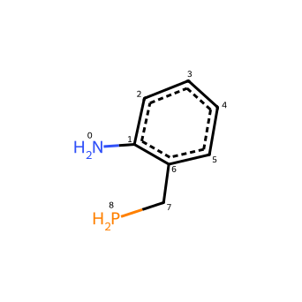 Nc1ccccc1CP